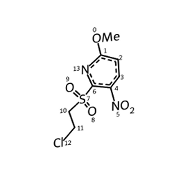 COc1ccc([N+](=O)[O-])c(S(=O)(=O)CCCl)n1